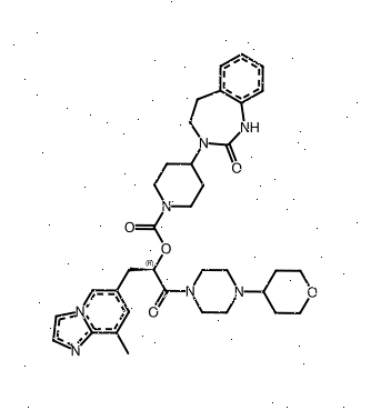 Cc1cc(C[C@@H](OC(=O)N2CCC(N3CCc4ccccc4NC3=O)CC2)C(=O)N2CCN(C3CCOCC3)CC2)cn2ccnc12